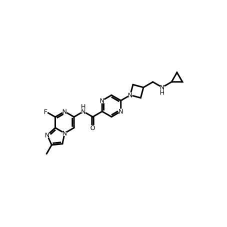 Cc1cn2cc(NC(=O)c3cnc(N4CC(CNC5CC5)C4)cn3)nc(F)c2n1